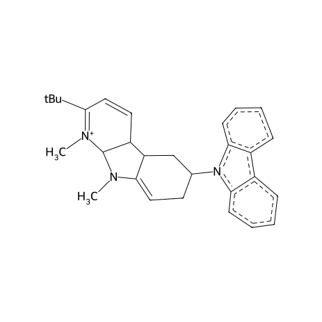 CN1C2=CCC(n3c4ccccc4c4ccccc43)CC2C2C=CC(C(C)(C)C)=[N+](C)C21